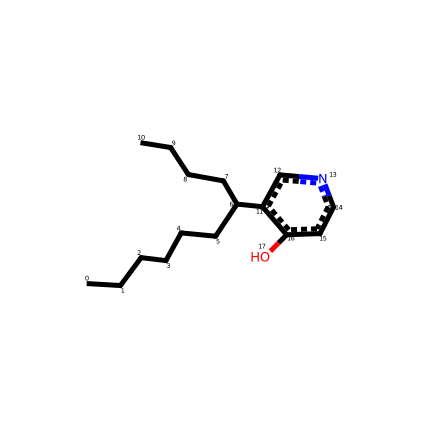 CCCCCCC(CCCC)c1cnccc1O